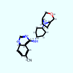 N#Cc1ccc2ncnc(N[C@H]3CC[C@H](N4C5CCC4COC5)CC3)c2c1